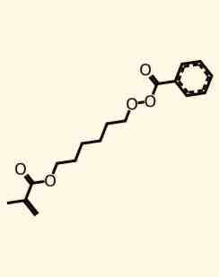 C=C(C)C(=O)OCCCCCCOOC(=O)c1ccccc1